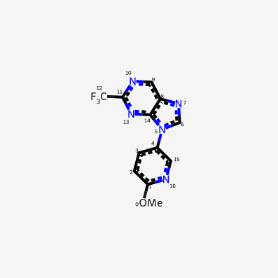 COc1ccc(-n2cnc3cnc(C(F)(F)F)nc32)cn1